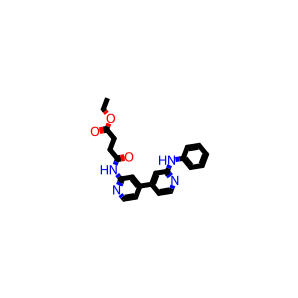 CCOC(=O)CCC(=O)Nc1cc(-c2ccnc(Nc3ccccc3)c2)ccn1